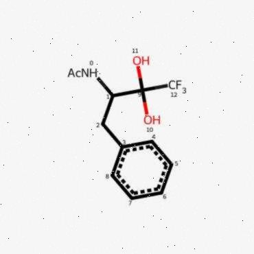 CC(=O)NC(Cc1ccccc1)C(O)(O)C(F)(F)F